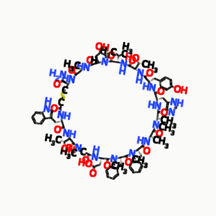 CC(C)[C@@H]1NC(=O)[C@H]([C@@H](C)O)NC(=O)[C@H](Cc2ccc(O)cc2)NC(=O)[C@H](Cc2cnc[nH]2)NC(=O)[C@H](C)N(C)C(=O)[C@H](C)NC(=O)[C@H](Cc2ccccc2)N(C)C(=O)[C@H](Cc2ccccc2)N(C)C(=O)[C@H](CC(=O)O)NC(=O)CN(C)C(=O)[C@H]([C@@H](C)O)NC(=O)[C@H](Cc2c[nH]c3ccccc23)NC(=O)CSC[C@@H](C(N)=O)NC(=O)[C@H](C)NC(=O)[C@@H]2C[C@@H](O)CN2C1=O